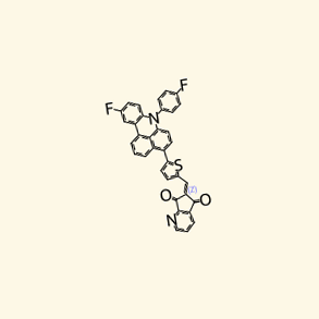 O=C1/C(=C/c2ccc(-c3ccc4c5c(cccc35)-c3cc(F)ccc3N4c3ccc(F)cc3)s2)C(=O)c2ncccc21